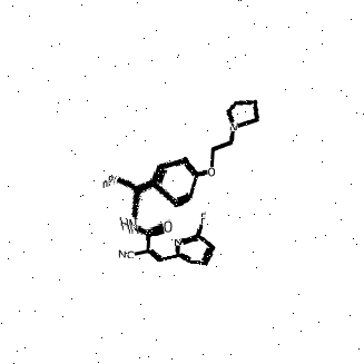 CCCC(NC(=O)C(C#N)=Cc1cccc(F)n1)c1ccc(OCCN2CCCC2)cc1